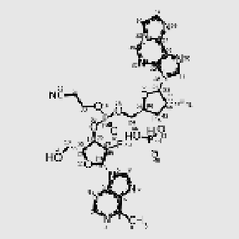 Cc1ncnc2c1ncn2[C@@H]1O[C@H](CO)[C@@H](OP(=O)(OCCC#N)OC[C@H]2O[C@@H](n3cnc4c3ncn3ccnc43)[C@H](F)[C@@H]2O[PH](=O)O)[C@H]1F